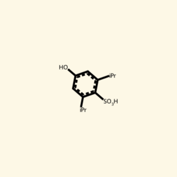 CC(C)c1cc(O)cc(C(C)C)c1S(=O)(=O)O